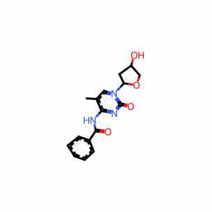 Cc1cn(C2CC(O)CO2)c(=O)nc1NC(=O)c1ccccc1